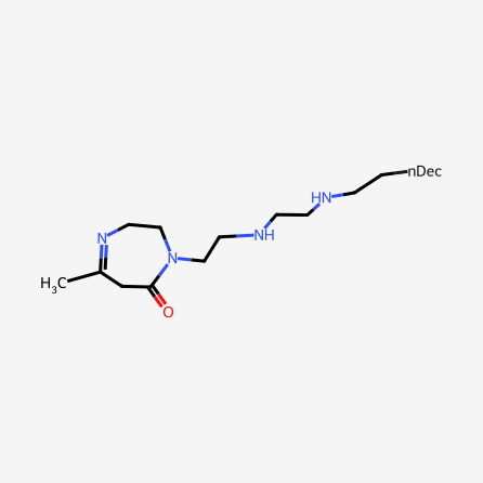 CCCCCCCCCCCCNCCNCCN1CCN=C(C)CC1=O